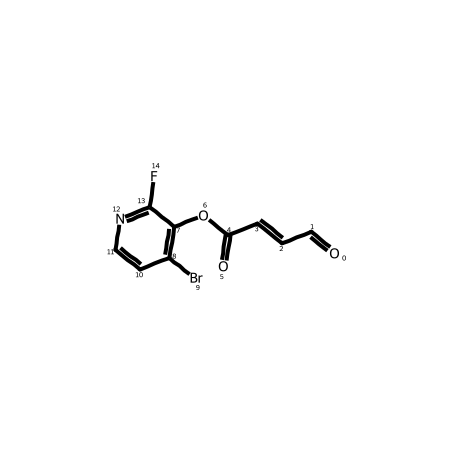 O=CC=CC(=O)Oc1c(Br)ccnc1F